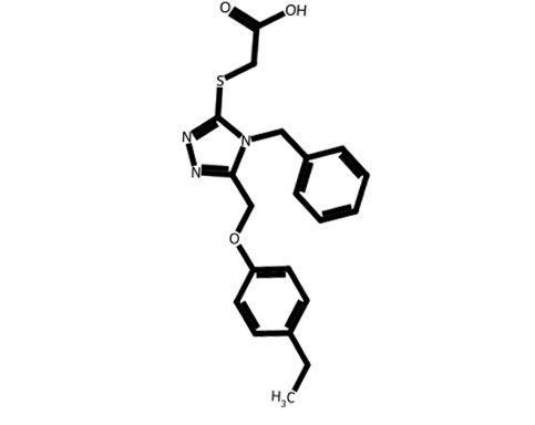 CCc1ccc(OCc2nnc(SCC(=O)O)n2Cc2ccccc2)cc1